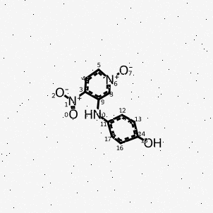 O=[N+]([O-])c1cc[n+]([O-])cc1Nc1ccc(O)cc1